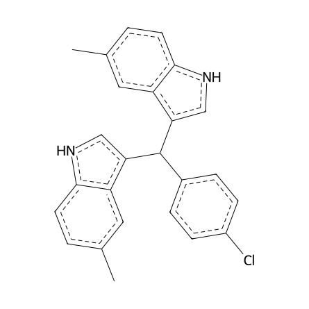 Cc1ccc2[nH]cc(C(c3ccc(Cl)cc3)c3c[nH]c4ccc(C)cc34)c2c1